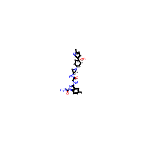 Cc1ccc2c(c1)c(NCC(=O)NC1CN([C@H]3CC[C@@](O)(c4ccc(C)nc4)CC3)C1)nn2C(N)=O